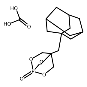 O=C(O)O.O=P12OCC(CC34CC5CC(CC(C5)C3)C4)(CO1)CO2